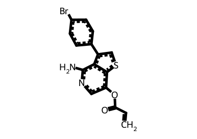 C=CC(=O)Oc1cnc(N)c2c(-c3ccc(Br)cc3)csc12